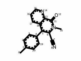 Cc1ccc(-c2c(C#N)n(C)c(=O)c3ncccc23)cc1